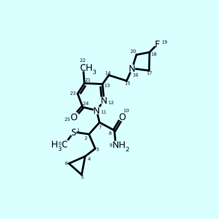 CSC(CC1CC1)C(C(N)=O)n1nc(CCN2CC(F)C2)c(C)cc1=O